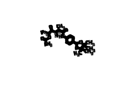 CC(C)[C@H](OC(N)=O)C(=O)N[C@@H](C)C(=O)Nc1ccc(B2OC(C)(C)C(C)(C)O2)cc1